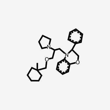 CC1(COCC(CN2c3ccccc3OCC2c2ccccc2)N2CCCC2)CCCCC1